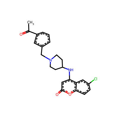 CC(=O)c1cccc(CN2CCC(Nc3cc(=O)oc4ccc(Cl)cc34)CC2)c1